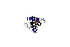 CCCCN(C)C(=O)c1ccccc1C1=c2cc3c(cc2[Si](C)(C)c2cc4c(cc21)CCCN4)=NCCC3